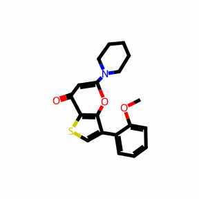 COc1ccccc1-c1csc2c(=O)cc(N3CCCCC3)oc12